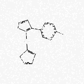 Clc1ccc(C2=[C]([Fe][C]3=CC=CC3)CC=C2)cc1